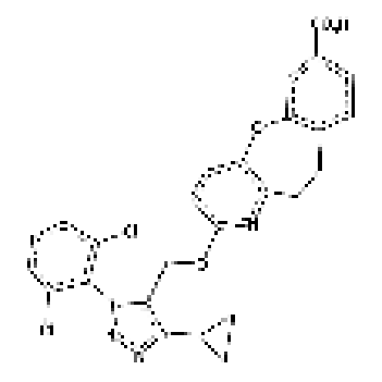 O=C(O)c1ccc2c(c1)Oc1ccc(OCc3c(-c4c(Cl)cccc4Cl)nnn3C3CC3)nc1CC2